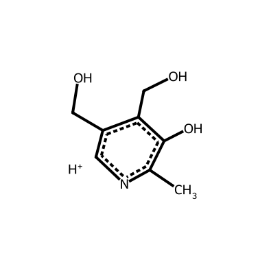 Cc1ncc(CO)c(CO)c1O.[H+]